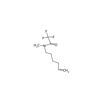 C=CCCCCN(C)C(=O)C(F)(F)F